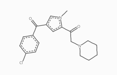 Cn1cc(C(=O)c2ccc(Cl)cc2)cc1C(=O)CN1CCCCC1